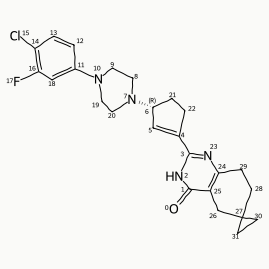 O=c1[nH]c(C2=C[C@H](N3CCN(c4ccc(Cl)c(F)c4)CC3)CC2)nc2c1CC1(CC2)CC1